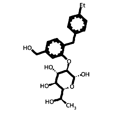 CCc1ccc(Cc2ccc(CO)cc2O[C@@H]2[C@@H](O)[C@H](O)[C@@H]([C@@H](C)O)O[C@H]2O)cc1